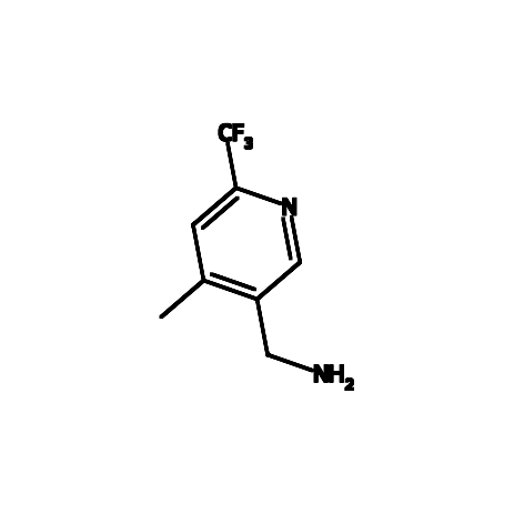 Cc1cc(C(F)(F)F)ncc1CN